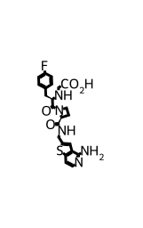 Nc1nccc2sc(CNC(=O)[C@@H]3CCN3C(=O)[C@@H](Cc3ccc(F)cc3)NCC(=O)O)cc12